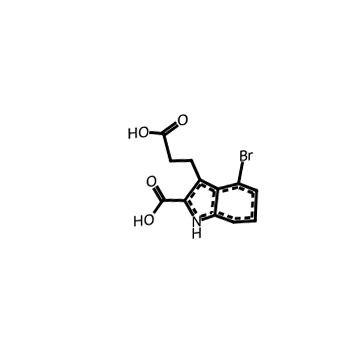 O=C(O)CCc1c(C(=O)O)[nH]c2cccc(Br)c12